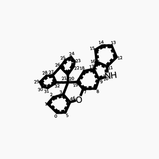 c1ccc2c(c1)Oc1cc3[nH]c4ccccc4c3cc1C21c2ccccc2-c2ccccc21